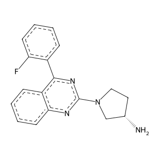 N[C@H]1CCN(c2nc(-c3ccccc3F)c3ccccc3n2)C1